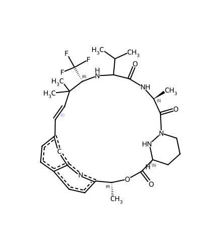 CC(C)C1N[C@@H](C(F)(F)F)C(C)(C)/C=C/c2ccc3ccc(nc3c2)[C@@H](C)OC(=O)[C@@H]2CCCN(N2)C(=O)[C@H](C)NC1=O